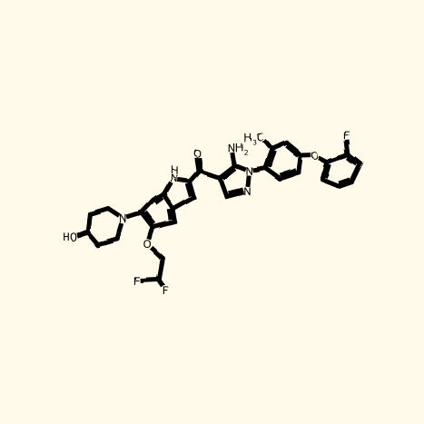 Cc1cc(Oc2ccccc2F)ccc1-n1ncc(C(=O)c2cc3cc(OCC(F)F)c(N4CCC(O)CC4)cc3[nH]2)c1N